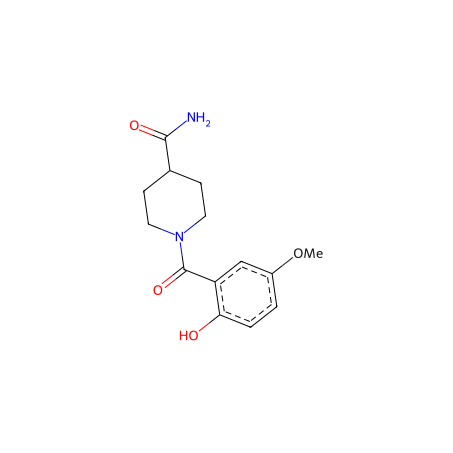 COc1ccc(O)c(C(=O)N2CCC(C(N)=O)CC2)c1